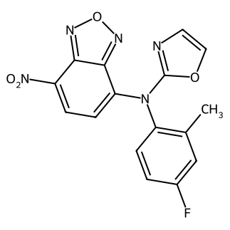 Cc1cc(F)ccc1N(c1ncco1)c1ccc([N+](=O)[O-])c2nonc12